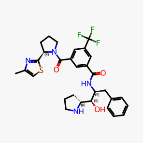 Cc1csc([C@H]2CCCN2C(=O)c2cc(C(=O)N[C@@H](Cc3ccccc3)[C@@H](O)[C@H]3CCCN3)cc(C(F)(F)F)c2)n1